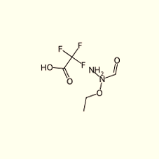 CCON(N)C=O.O=C(O)C(F)(F)F